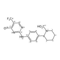 O=C(O)N1CCCCC1c1ccc(Nc2ncc(C(F)(F)F)c(Cl)n2)cc1